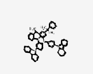 CC1c2ccccc2B2c3cc(N4c5ccccc5C5C=CC=CC54)ccc3N(c3ccc(-n4c5c(c6ccccc64)C=CCC5)cc3)c3cc(C(C)(C)c4ccccc4)cc1c32